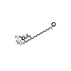 C=CN(CCCC(S)CCCCCCCCCCCCSC1=CCCC=C1)c1c(C)c(N)nn1C